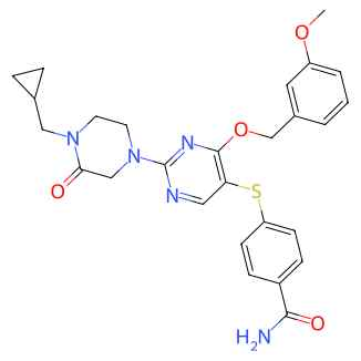 COc1cccc(COc2nc(N3CCN(CC4CC4)C(=O)C3)ncc2Sc2ccc(C(N)=O)cc2)c1